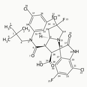 CC(C)(C)CN(C(=O)[C@H]1[C@H]2CC(F)(F)CN2[C@]2(C(=O)Nc3c(Cl)cc(F)cc32)[C@H]1C(=O)O)c1cc(Cl)cc(Cl)c1